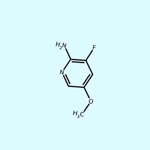 COc1cnc(N)c(F)c1